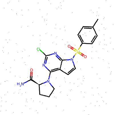 Cc1ccc(S(=O)(=O)n2ccc3c(N4CCC[C@H]4C(N)=O)nc(Cl)nc32)cc1